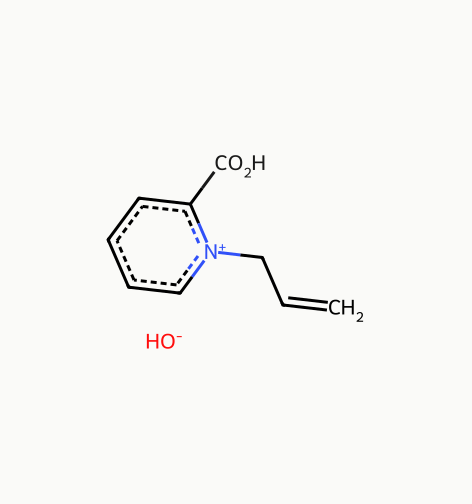 C=CC[n+]1ccccc1C(=O)O.[OH-]